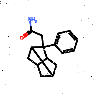 NC(=O)CC1(c2ccccc2)C2CC3CC2CC31